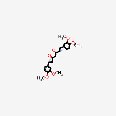 COc1ccc(/C=C/C(=O)CC(=O)/C=C/c2ccc(OC)c(OC)c2)cc1OC